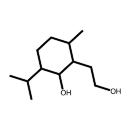 CC(C)C1CCC(C)C(CCO)C1O